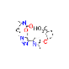 Cc1nc(-c2nnn(C)c2COC(=O)N(C)[C@H](C)C2CC2)ccc1O[C@H]1CCC[C@H](C(=O)O)C1